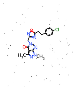 Cc1nn(C)c2ncn(Cc3noc(CCc4ccc(Cl)cc4)n3)c(=O)c12